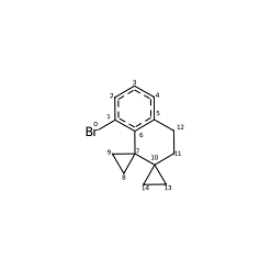 Brc1cccc2c1C1(CC1)C1(CC2)CC1